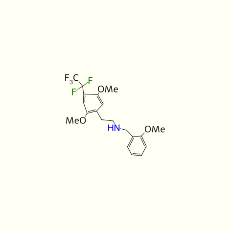 COc1cc(C(F)(F)C(F)(F)F)c(OC)cc1CCNCc1ccccc1OC